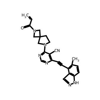 C=CC(=O)N1CC2(CCN(c3ncnc(C#Cc4c(C)ccc5[nH]ncc45)c3C#N)C2)C1